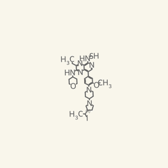 CCc1nc2c(NS)ncc(-c3ccc(N4CCC(N5CC[C@@H](C(C)I)C5)CC4)c(OC)c3)c2nc1NC1CCOCC1